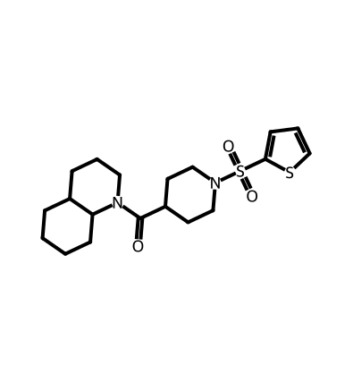 O=C(C1CCN(S(=O)(=O)c2cccs2)CC1)N1CCCC2CCCCC21